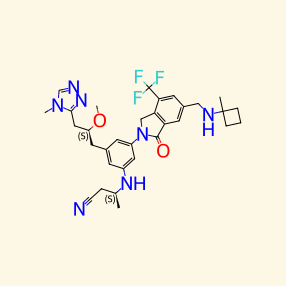 CO[C@@H](Cc1cc(N[C@@H](C)CC#N)cc(N2Cc3c(cc(CNC4(C)CCC4)cc3C(F)(F)F)C2=O)c1)Cc1nncn1C